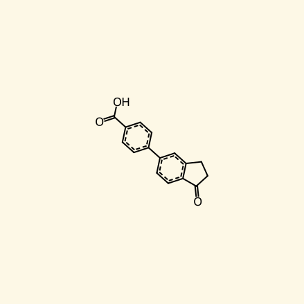 O=C(O)c1ccc(-c2ccc3c(c2)CCC3=O)cc1